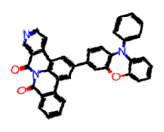 O=c1c2ccccc2c2cc(-c3ccc4c(c3)Oc3ccccc3N4c3ccccc3)cc3c4ccncc4c(=O)n1c23